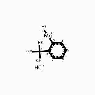 Cl.[F][Mg][c]1ccccc1C(F)(F)F